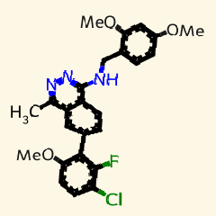 COc1ccc(CNc2nnc(C)c3cc(-c4c(OC)ccc(Cl)c4F)ccc23)c(OC)c1